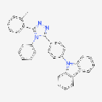 Cc1ccccc1-c1nnc(-c2ccc(-n3c4ccccc4c4ccccc43)cc2)n1-c1ccccc1